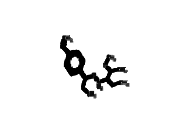 C=Cc1ccc(C(CC)O[SiH2]C(CC)C(C)OC)cc1